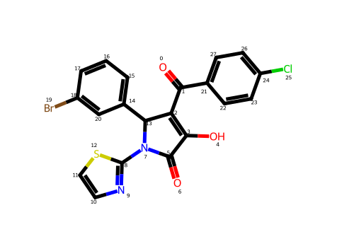 O=C(C1=C(O)C(=O)N(c2nccs2)C1c1cccc(Br)c1)c1ccc(Cl)cc1